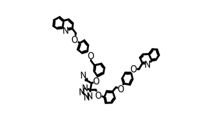 N#CC(Oc1cccc(COc2ccc(OCc3ccc4ccccc4n3)cc2)c1)C1(COc2cccc(COc3ccc(OCc4ccc5ccccc5n4)cc3)c2)N=NN=N1